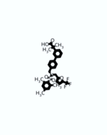 Cc1cc(C)c(S(=O)(=O)N(Cc2ccc(-c3cccc(C(C)(C)C(=O)O)c3)cc2)Cc2ccc(C(F)(F)F)o2)c(C)c1